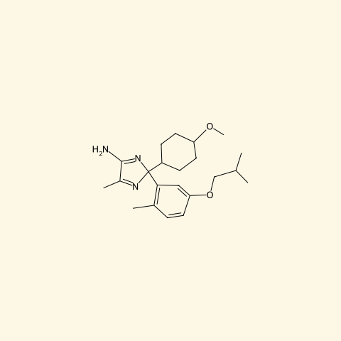 COC1CCC(C2(c3cc(OCC(C)C)ccc3C)N=C(C)C(N)=N2)CC1